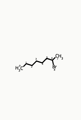 CCCCC[CH]C(C)Br